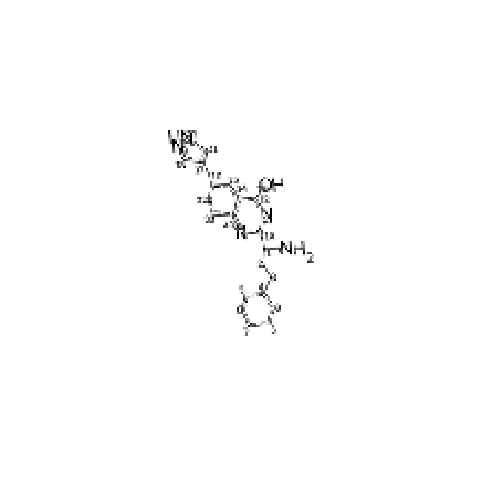 NC(CCc1ccccc1)c1nc(O)c2cc(-c3cn[nH]c3)ccc2n1